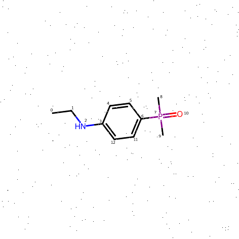 CCNc1ccc(P(C)(C)=O)cc1